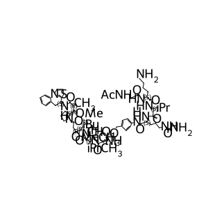 CC[C@H](C)[C@@H]([C@@H](CC(=O)N1CCC[C@H]1[C@H](OC)[C@@H](C)C(=O)N[C@@H](Cc1ccccc1)c1nccs1)OC)N(C)C(=O)[C@@H](NC(=O)C(C)(C)NC(=O)OCc1ccc(NC(=O)[C@H](CCCNC(N)=O)NC(=O)[C@@H](NC(=O)[C@H](CCCCN)NC(=O)CNC(C)=O)C(C)C)cc1)C(C)C